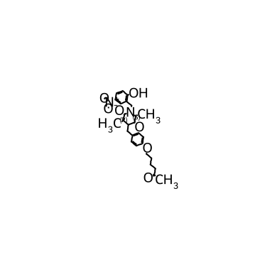 CC(=O)CCCCOc1ccc(CC2C(=O)[C@H](C)N(Cc3cc([N+](=O)[O-])ccc3O)C(=O)[C@@H]2C)cc1